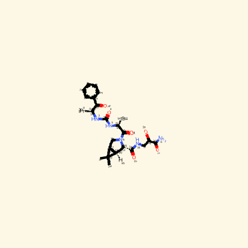 CC(C)[C@H](NC(=O)N[C@H](C(=O)N1CC2[C@@H]([C@H]1C(=O)NCC(=O)C(N)=O)C2(C)C)C(C)(C)C)C(=O)c1ccccc1